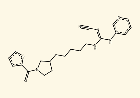 N#CN=C(NCCCCCC1CCN(C(=O)c2cccs2)C1)Nc1cccnc1